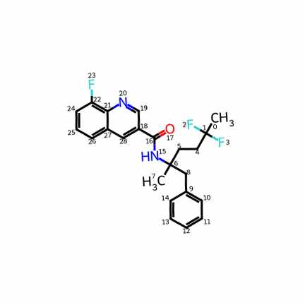 CC(F)(F)CCC(C)(Cc1ccccc1)NC(=O)c1cnc2c(F)cccc2c1